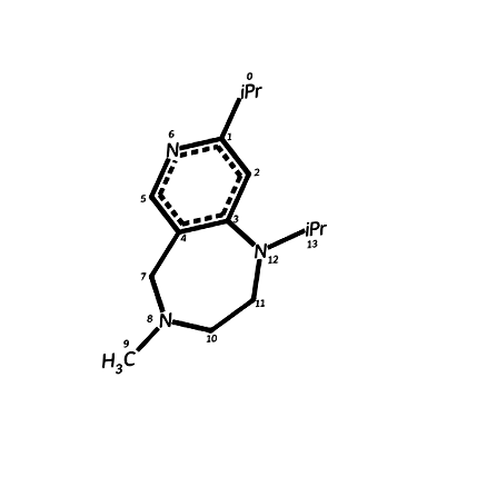 CC(C)c1cc2c(cn1)CN(C)CCN2C(C)C